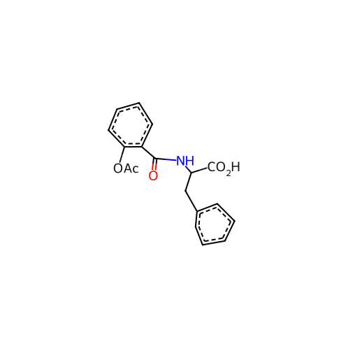 CC(=O)Oc1ccccc1C(=O)NC(Cc1ccccc1)C(=O)O